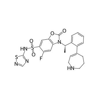 C[C@H](c1ccccc1C1=CCNCCC1)n1c(=O)oc2cc(S(=O)(=O)Nc3ncns3)c(F)cc21